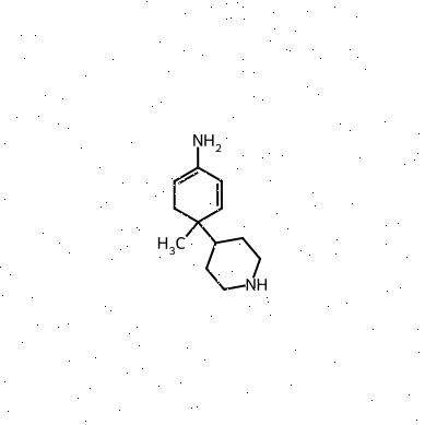 CC1(C2CCNCC2)C=CC(N)=CC1